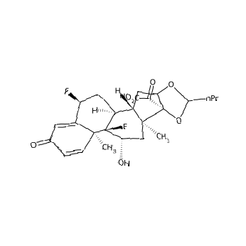 CCCC1OC2C[C@H]3[C@@H]4C[C@H](F)C5=CC(=O)C=C[C@]5(C)[C@@]4(F)[C@@H](O)C[C@]3(C)[C@]2(C(=O)C(=O)O)O1